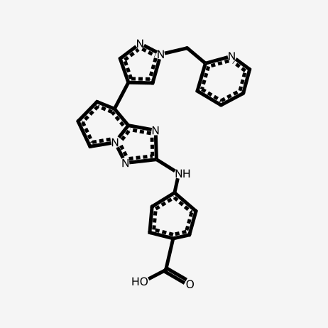 O=C(O)c1ccc(Nc2nc3c(-c4cnn(Cc5ccccn5)c4)cccn3n2)cc1